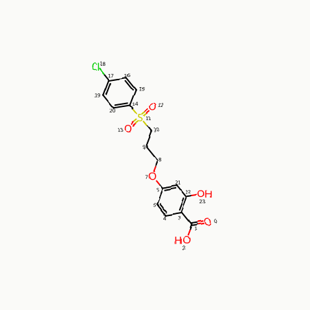 O=C(O)c1ccc(OCCCS(=O)(=O)c2ccc(Cl)cc2)cc1O